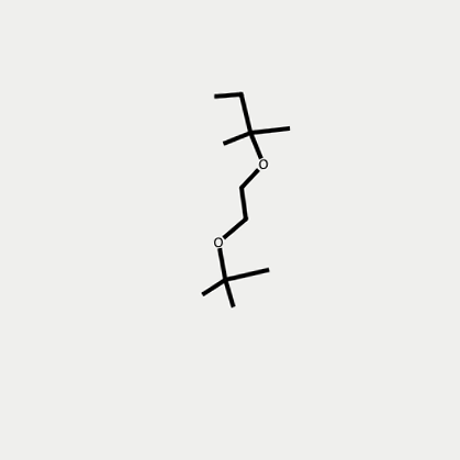 CCC(C)(C)OCCOC(C)(C)C